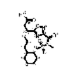 CN(C(=O)c1noc([C@H](CCCC2CCCCC2)CC(=O)O)n1)S(C)(=O)=O